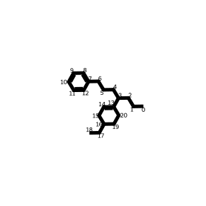 CCCC(CCCc1ccccc1)C1=CCC(CC)CC1